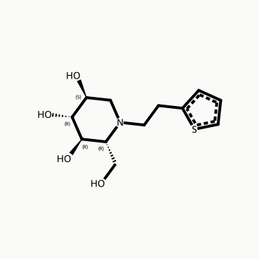 OC[C@@H]1[C@@H](O)[C@H](O)[C@@H](O)CN1CCc1cccs1